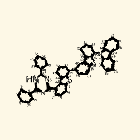 c1ccc(C2=NC(c3cccc4oc5c(-c6ccc7sc8c(-n9c%10ccccc%10c%10ccccc%109)cccc8c7c6)cccc5c34)=NC(c3ccccc3)N2)cc1